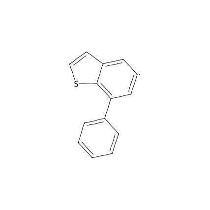 [c]1cc(-c2ccccc2)c2sccc2c1